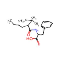 CCCCC(C(=O)NC(Cc1ccccc1)C(=O)O)C(C)(C)C